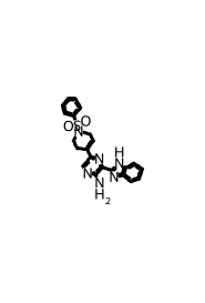 Nc1ncc(C2=CCN(S(=O)(=O)c3ccccc3)CC2)nc1-c1nc2ccccc2[nH]1